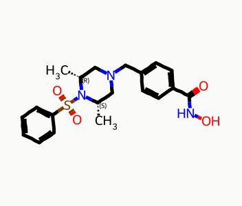 C[C@@H]1CN(Cc2ccc(C(=O)NO)cc2)C[C@H](C)N1S(=O)(=O)c1ccccc1